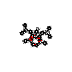 N#Cc1cc(-n2c3ccc(-c4nc(-c5ccccc5)nc(-c5ccccc5)n4)cc3c3cc(-c4nc(-c5ccccc5)nc(-c5ccccc5)n4)ccc32)c(-c2nc(-c3ccccc3)cc(-c3ccccc3)n2)c(-n2c3ccc(-c4nc(-c5ccccc5)nc(-c5ccccc5)n4)cc3c3cc(-c4nc(-c5ccccc5)nc(-c5ccccc5)n4)ccc32)c1